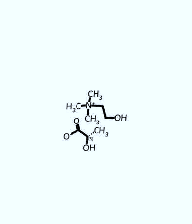 C[C@H](O)C(=O)[O-].C[N+](C)(C)CCO